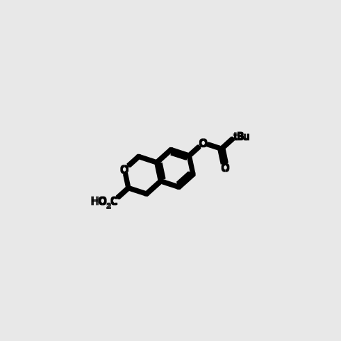 CC(C)(C)C(=O)Oc1ccc2c(c1)COC(C(=O)O)C2